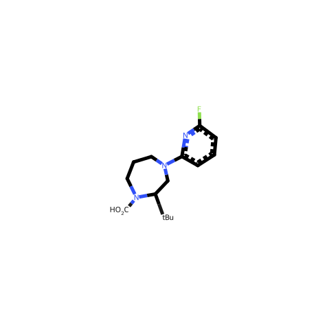 CC(C)(C)C1CN(c2cccc(F)n2)CCCN1C(=O)O